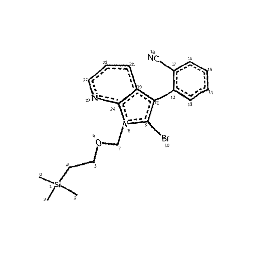 C[Si](C)(C)CCOCn1c(Br)c(-c2ccccc2C#N)c2cccnc21